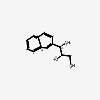 N[C@H](c1ccc2ccccc2c1)[C@H](O)CO